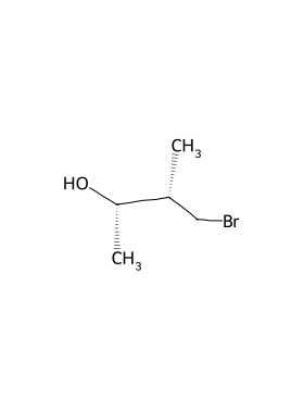 C[C@H](O)[C@H](C)CBr